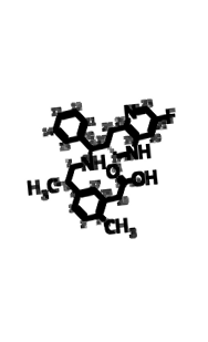 Cc1ccc([C@H](C)CN[C@H](c2ccccc2)[C@H]2CNc3cc(F)cnc3C2)cc1CC(=O)O